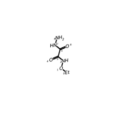 CCONC(=O)C(=O)NN